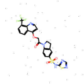 O=C(COc1ccnc2c(C(F)(F)F)cccc12)N1CCc2cc(S(=O)(=O)Nc3ncns3)ccc21